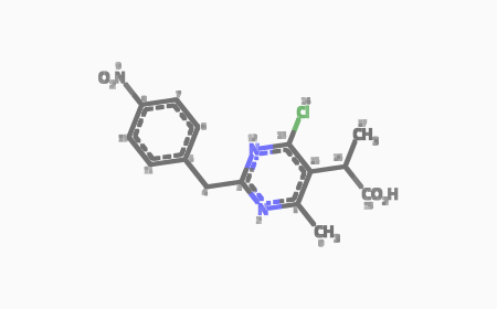 Cc1nc(Cc2ccc([N+](=O)[O-])cc2)nc(Cl)c1C(C)C(=O)O